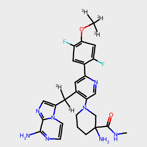 [2H]C([2H])([2H])Oc1cc(F)c(-c2cc(C([2H])([2H])c3cnc4c(N)nccn34)c(N3CCCC(N)(C(=O)NC)C3)cn2)cc1F